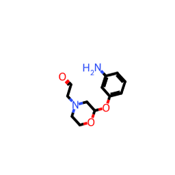 Nc1cccc(OC2CN(CC=O)CCO2)c1